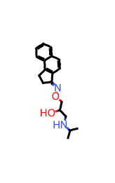 CC(C)NCC(O)CON=C1CCc2c1ccc1ccccc21